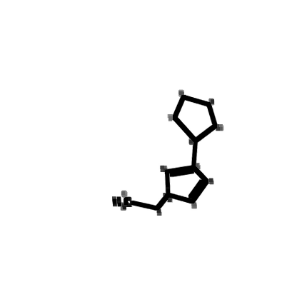 CC[C]1C=CC(C2CCCC2)=C1